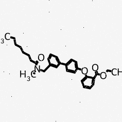 CCCCCCCC(=O)N(C)Cc1cccc(-c2ccc(Oc3ccccc3C(=O)OCC)cc2)c1